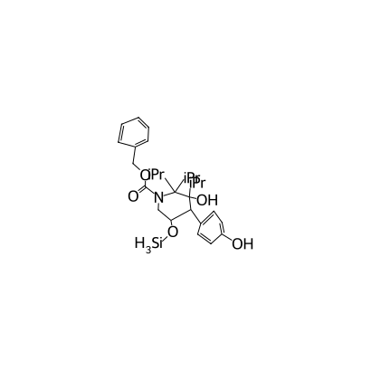 CC(C)C1(O)C(c2ccc(O)cc2)C(O[SiH3])CN(C(=O)OCc2ccccc2)C1(C(C)C)C(C)C